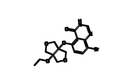 CCOC12COCC1(Oc1ccc(Br)c3nc[nH]c(=O)c13)COC2